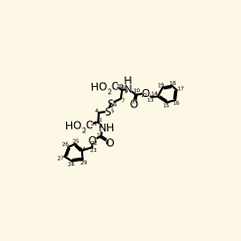 O=C(NC(CSSCC(NC(=O)OCc1ccccc1)C(=O)O)C(=O)O)OCc1ccccc1